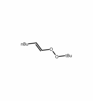 CCCCC=COOC(C)(C)C